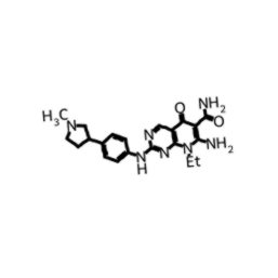 CCn1c(N)c(C(N)=O)c(=O)c2cnc(Nc3ccc(C4CCN(C)C4)cc3)nc21